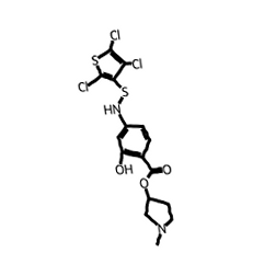 CN1CCC(OC(=O)c2ccc(NSc3c(Cl)sc(Cl)c3Cl)cc2O)C1